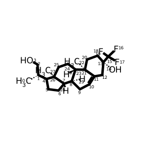 C[C@H](CO)C1CC[C@H]2[C@@H]3CC=C4C[C@](O)(C(F)(F)F)CC[C@]4(C)[C@H]3CC[C@]12C